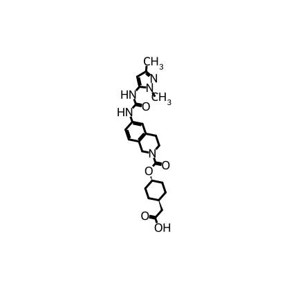 Cc1cc(NC(=O)Nc2ccc3c(c2)CCN(C(=O)O[C@H]2CC[C@H](CC(=O)O)CC2)C3)n(C)n1